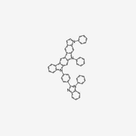 c1ccc(-n2ccc3cc4c5cc6c7ccccc7n(-c7ccc(-c8nc9ccccc9n8-c8ccccc8)cc7)c6cc5n(-c5ccccc5)c4cc32)cc1